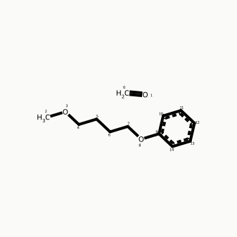 C=O.COCCCCOc1ccccc1